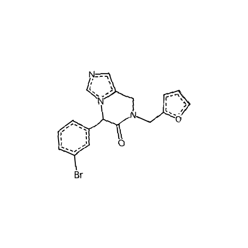 O=C1C(c2cccc(Br)c2)n2cncc2CN1Cc1ccco1